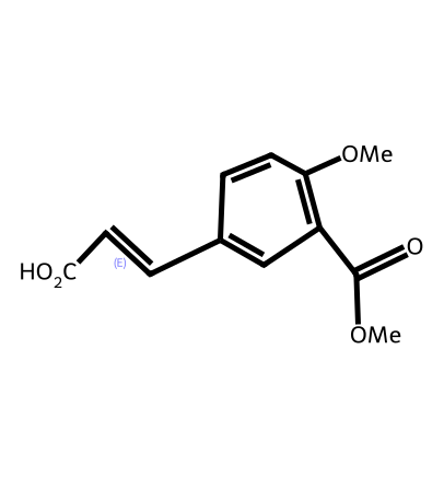 COC(=O)c1cc(/C=C/C(=O)O)ccc1OC